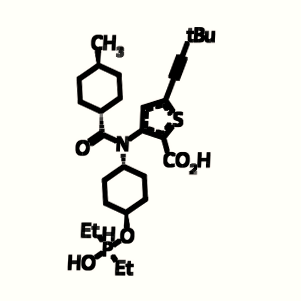 CC[PH](O)(CC)O[C@H]1CC[C@H](N(c2cc(C#CC(C)(C)C)sc2C(=O)O)C(=O)[C@H]2CC[C@H](C)CC2)CC1